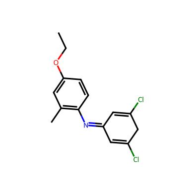 CCOc1ccc(N=C2C=C(Cl)CC(Cl)=C2)c(C)c1